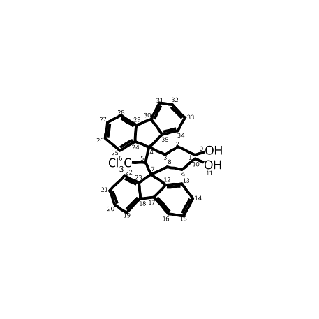 OCCCC1(C(C(Cl)(Cl)Cl)C2(CCCO)c3ccccc3-c3ccccc32)c2ccccc2-c2ccccc21